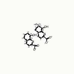 O=C([O-])c1ccc2cccc(O)c2n1.O=C([O-])c1ccc2cccc(O)c2n1.[Fe+2]